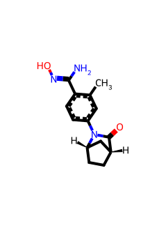 Cc1cc(N2C(=O)[C@@H]3CC[C@H]2C3)ccc1/C(N)=N/O